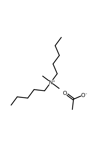 CC(=O)[O-].CCCCC[N+](C)(C)CCCCC